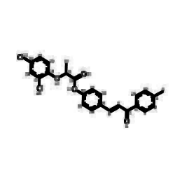 Cc1ccc(C(=O)C=Cc2ccc(OC(=O)C(C)Oc3ccc(Cl)cc3Cl)cc2)cc1